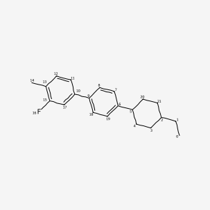 CCC1CCC(c2ccc(-c3ccc(C)c(F)c3)cc2)CC1